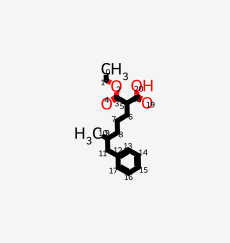 CCOC(=O)C(CCCC(C)Cc1ccccc1)C(=O)O